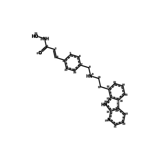 O=C(/C=C/c1ccc(CNCCc2cccc3c2[nH]c2ncccc23)cc1)NO